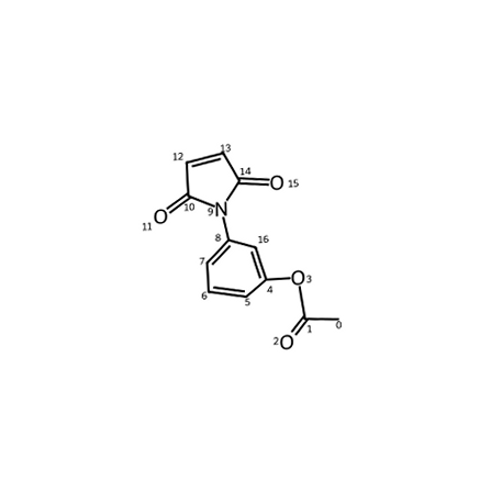 CC(=O)Oc1cccc(N2C(=O)C=CC2=O)c1